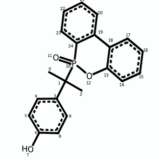 CC(C)(c1ccc(O)cc1)P1(=O)Oc2ccccc2-c2ccccc21